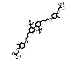 Cc1cc(OCCCc2ccc(-c3ccc(CCCOc4ccc(OCC(=O)O)c(C)c4)cc3C(F)(F)F)c(C(F)(F)F)c2)ccc1OCC(=O)O